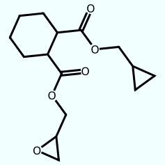 O=C(OCC1CC1)C1CCCCC1C(=O)OCC1CO1